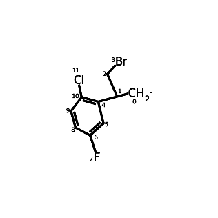 [CH2]C(CBr)c1cc(F)ccc1Cl